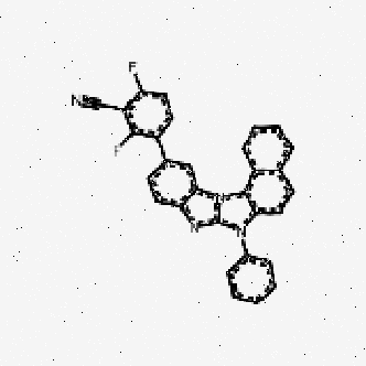 N#Cc1c(F)ccc(-c2ccc3nc4n(-c5ccccc5)c5ccc6ccccc6c5n4c3c2)c1F